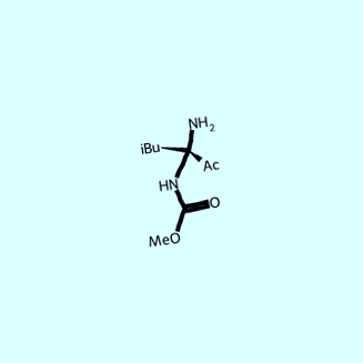 CC[C@H](C)[C@](N)(NC(=O)OC)C(C)=O